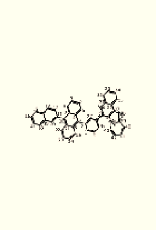 c1cc(-c2c3ccccc3c(-c3ccc4ccccc4c3)c3ccccc23)cc(-c2nc3ccccc3c3nc4ccccn4c23)c1